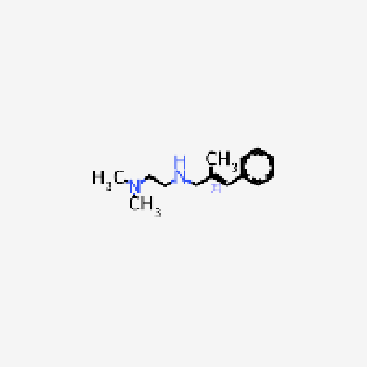 C/C(=C\c1ccccc1)CNCCN(C)C